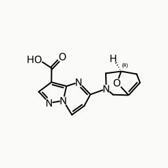 O=C(O)c1cnn2ccc(N3CC4=CC[C@H](C3)O4)nc12